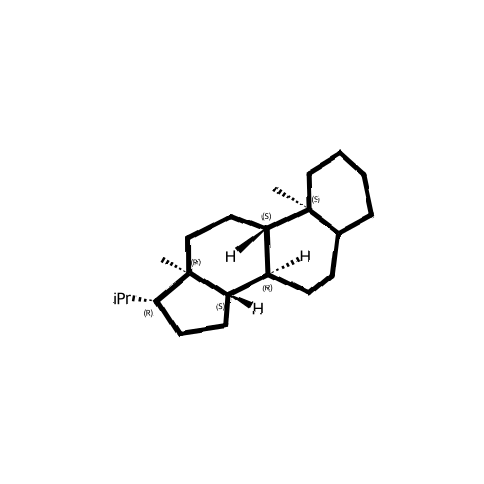 CC(C)[C@H]1CC[C@H]2[C@@H]3CCC4CCCC[C@]4(C)[C@H]3CC[C@]12C